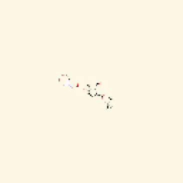 CC(C)(C)C1(OC(=O)C2C3CC4C(OC(=O)C42)C3OC(=O)CN2CCOCC2)CC1